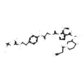 C[C@@H]1CCN(C(=O)CC#N)CC1N(C)c1ncnc2c1ccn2C(=O)NCC(=O)Nc1ccc(CCNC(=O)OC(C)(C)C)cc1